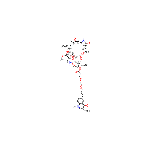 CC[C@H]1OC(=O)[C@H](C)[C@@H](O[C@H]2C[C@@](C)(OC)[C@@H](OC(=O)CCOCCOCCCc3ccc4c(c3)c(=O)c(C(=O)O)cn4CC)[C@H](C)O2)[C@H](C)[C@@H](O[C@@H]2O[C@H](C)C[C@H](N(C)C)[C@H]2O)[C@](C)(OC)C[C@@H](C)C(=O)[C@H](C)C2N(C)C(=O)C23C[C@]13C